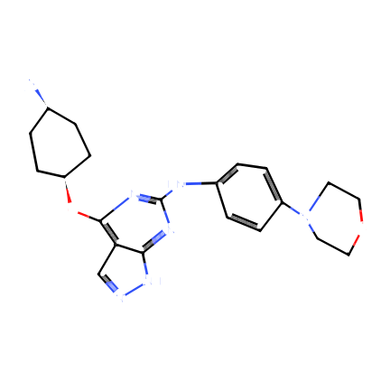 N[C@H]1CC[C@@H](Oc2nc(Nc3ccc(N4CCOCC4)cc3)nc3[nH]ncc23)CC1